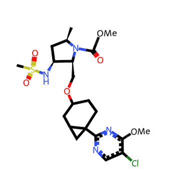 COC(=O)N1[C@H](C)C[C@H](NS(C)(=O)=O)[C@@H]1COC1CCC2(c3ncc(Cl)c(OC)n3)CC2C1